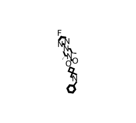 C[C@@H]1CN(c2ncc(F)cn2)C[C@@H](C)N1C(=O)OC1CC2(C1)CN(Cc1ccccc1)C2